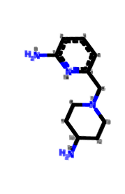 Nc1cccc(CN2CCC(N)CC2)n1